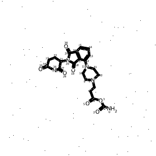 NC(=O)OC(=O)CCN1CCN(c2cccc3c2C(=O)N(C2CCC(=O)NC2=O)C3=O)CC1